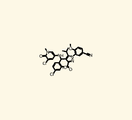 COc1ccc(C#N)cc1-n1nc(C(=O)O)c(C(Nc2cc(Cl)c(=O)n(C)c2)c2ccc(Cl)cc2C)c1C(C)C